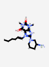 CCCC/C=C/n1c(N2CCCC(N)C2)nc2c1c(=O)n(C)c(=O)n2C